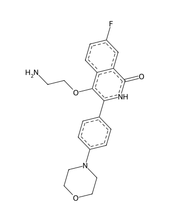 NCCOc1c(-c2ccc(N3CCOCC3)cc2)[nH]c(=O)c2cc(F)ccc12